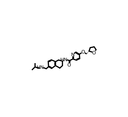 CC(C)CNCc1ccc2c(c1)CC[C@H](NC(=O)c1ccc(OC[C@@H]3CCCO3)cn1)C2